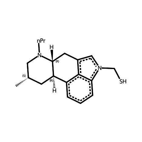 CCCN1C[C@@H](C)C[C@@H]2c3cccc4c3c(cn4CS)C[C@H]21